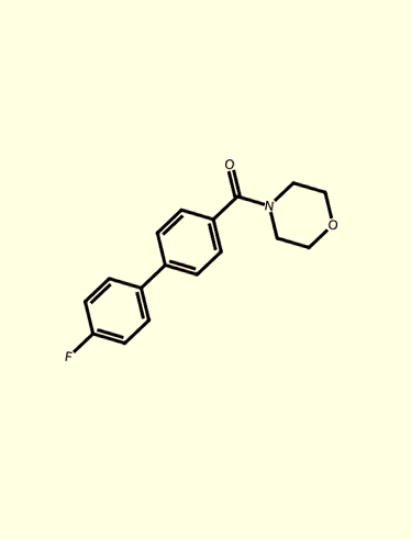 O=C(c1ccc(-c2ccc(F)cc2)cc1)N1CCOCC1